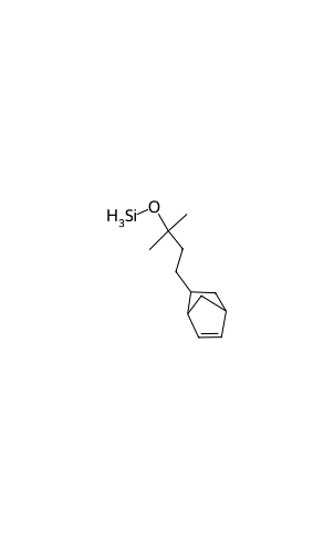 CC(C)(CCC1CC2C=CC1C2)O[SiH3]